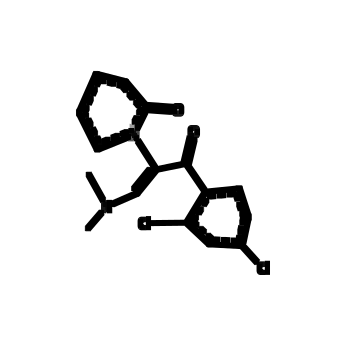 CN(C)C=C(C(=O)c1ccc(Cl)cc1Cl)n1ccccc1=O